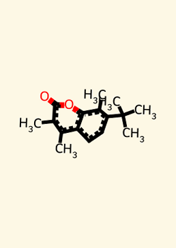 Cc1c(C)c2ccc(C(C)(C)C)c(C)c2oc1=O